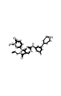 C=CCn1c(=O)c2cnc(Nc3cc(F)cc(C4CCNCC4)c3)nc2n1-c1ccc(=O)n(C(C)C)n1